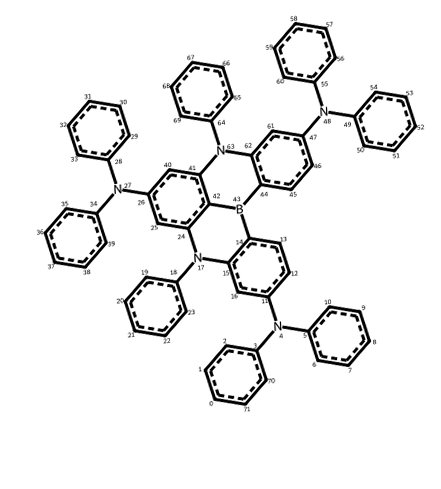 c1ccc(N(c2ccccc2)c2ccc3c(c2)N(c2ccccc2)c2cc(N(c4ccccc4)c4ccccc4)cc4c2B3c2ccc(N(c3ccccc3)c3ccccc3)cc2N4c2ccccc2)cc1